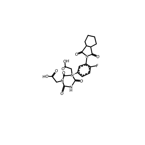 O=C(O)CN1C(=O)NC(=O)[N+](CC(=O)O)(c2ccc(F)c(N3C(=O)C4CCCCC4C3=O)c2)C1=O